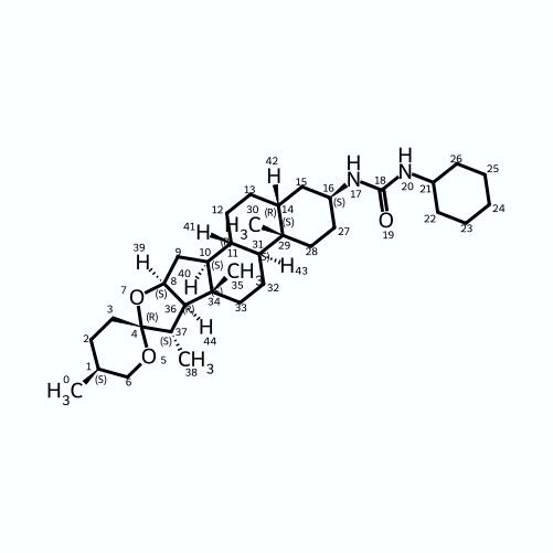 C[C@H]1CC[C@@]2(OC1)O[C@H]1C[C@H]3[C@@H]4CC[C@@H]5C[C@@H](NC(=O)NC6CCCCC6)CC[C@]5(C)[C@H]4CC[C@]3(C)[C@H]1[C@@H]2C